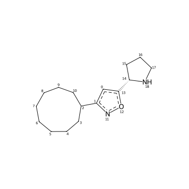 c1c(C2CCCCCCCC2)noc1[C@@H]1CCCN1